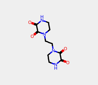 O=C1NCCN(CCN2CCNC(=O)C2=O)C1=O